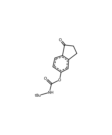 CC(C)(C)NC(=O)Oc1ccc2c(c1)CCC2=O